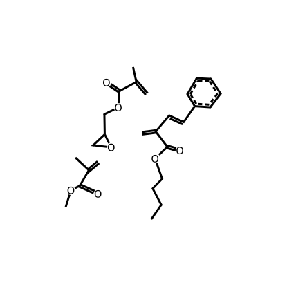 C=C(C)C(=O)OC.C=C(C)C(=O)OCC1CO1.C=C(C=Cc1ccccc1)C(=O)OCCCC